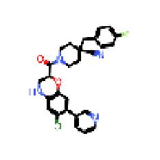 N#CC1(Cc2ccc(F)cc2)CCN(C(=O)C2CNc3cc(Cl)c(-c4cccnc4)cc3O2)CC1